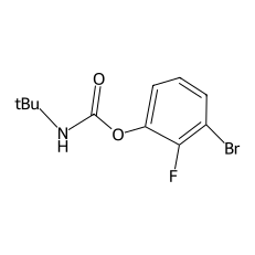 CC(C)(C)NC(=O)Oc1cccc(Br)c1F